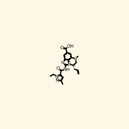 C=CC[C@H]1CN(C)c2cc(C(=O)O)cc3nc(NC(=O)c4cc(C)nn4CC)n1c23